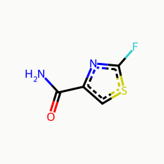 NC(=O)c1csc(F)n1